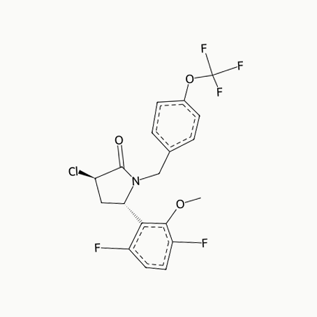 COc1c(F)ccc(F)c1[C@@H]1C[C@@H](Cl)C(=O)N1Cc1ccc(OC(F)(F)F)cc1